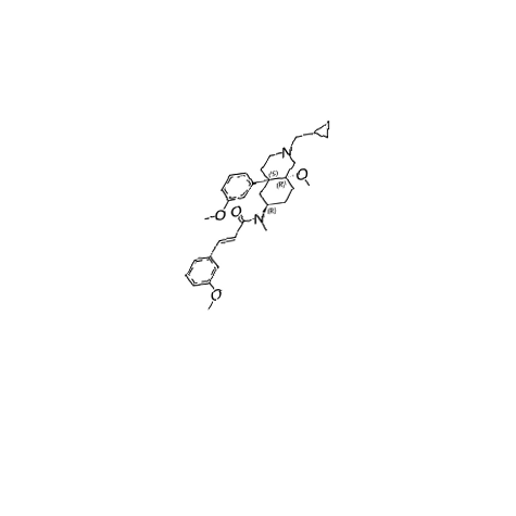 COc1cccc(C=CC(=O)N(C)[C@@H]2CC[C@]3(OC)CN(CC4CC4)CC[C@@]3(c3cccc(OC)c3)C2)c1